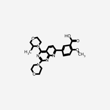 COc1ccc(-c2ccc3c(N4CCOCC4C)nc(N4CCOCC4)nc3n2)cc1C(=O)O